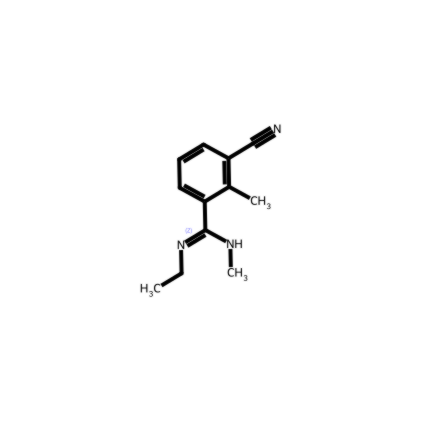 CC/N=C(\NC)c1cccc(C#N)c1C